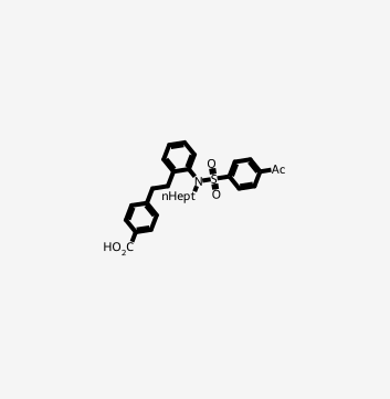 CCCCCCCN(c1ccccc1CCc1ccc(C(=O)O)cc1)S(=O)(=O)c1ccc(C(C)=O)cc1